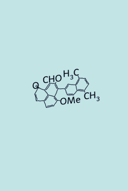 COc1ccc2c3c(cc(C=O)c(-c4ccc5c(C)ccc(C)c5c4)c13)C(=O)C=C2